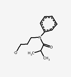 CC(C)C(=O)N(CCC[O])c1ccccc1